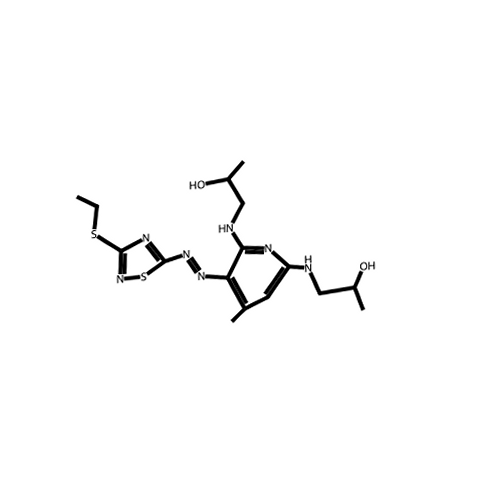 CCSc1nsc(N=Nc2c(C)cc(NCC(C)O)nc2NCC(C)O)n1